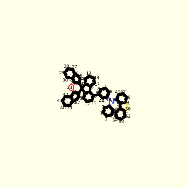 c1ccc(N(c2cccc(-c3cccc4c3-c3ccccc3C43c4ccc5ccccc5c4Oc4c3ccc3ccccc43)c2)c2cccc3sc4ccccc4c23)cc1